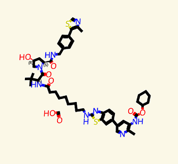 Cc1ncc(-c2ccc3nc(NCCCCCCCCC(=O)N[C@H](C(=O)N4C[C@H](O)C[C@H]4C(=O)NCc4ccc(-c5scnc5C)cc4)C(C)(C)C)sc3c2)cc1NC(=O)OC1CCCCC1.O=CO